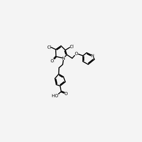 O=C(O)c1ccc(CCn2c(COc3cccnc3)c(Cl)cc(Cl)c2=O)cc1